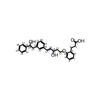 O=C(O)CCc1ccccc1OCC[C@@H](O)/C=C/c1cccc(C[C@H](O)c2ccccc2)c1